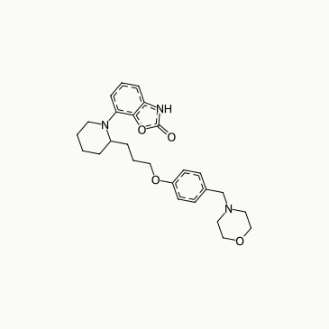 O=c1[nH]c2cccc(N3CCCCC3CCCOc3ccc(CN4CCOCC4)cc3)c2o1